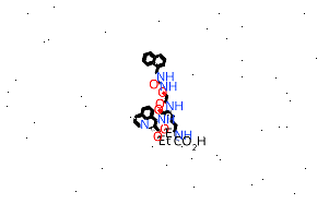 CCOC(OCC)[C@@H](C)C(NC(=O)[C@H](CCCCNC(=O)O)NC(=O)CONC(=O)NCc1cccc2ccccc12)c1cccc2cccnc12